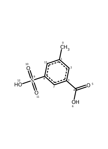 Cc1cc(C(=O)O)cc(S(=O)(=O)O)c1